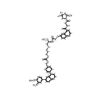 COc1ncc(-c2ccc3nccc(-c4ccc(COC(=O)OCCSSCC(NC(=O)COc5ccc6nccc(C(=O)NCC(=O)N7CC(F)(F)C[C@H]7C#N)c6c5)C(=O)O)nc4)c3c2)cc1N